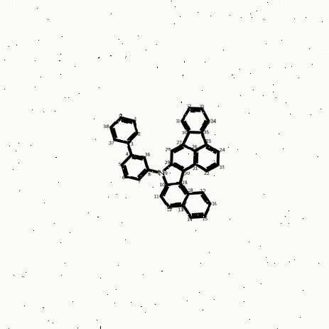 c1ccc(-c2cccc(-n3c4ccc5ccccc5c4c4c5cccc6c5c(cc43)-c3ccccc3-6)c2)cc1